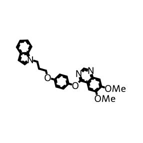 COc1cc2ncnc(Oc3ccc(OCCCn4ccc5ccccc54)cc3)c2cc1OC